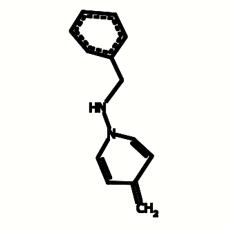 C=C1C=CN(NCc2ccccc2)C=C1